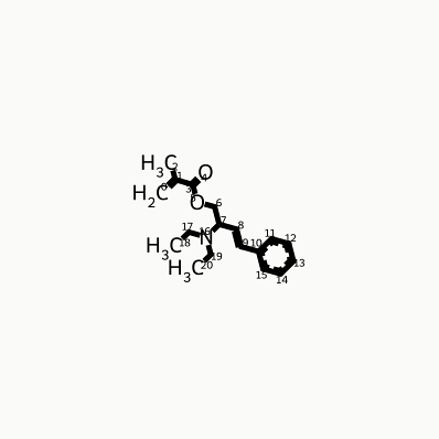 C=C(C)C(=O)OCC(C=Cc1ccccc1)N(CC)CC